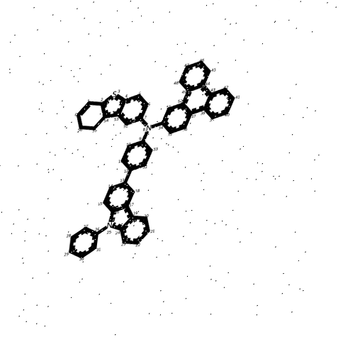 C1=Cc2sc3ccc(N(c4ccc(-c5ccc6c(c5)c5ccccc5n6-c5ccccc5)cc4)c4ccc5c6ccccc6c6ccccc6c5c4)cc3c2CC1